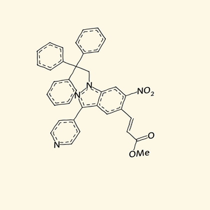 COC(=O)C=Cc1cc2c(-c3ccncc3)nn(CC(c3ccccc3)(c3ccccc3)c3ccccc3)c2cc1[N+](=O)[O-]